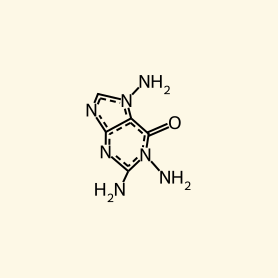 Nc1nc2ncn(N)c2c(=O)n1N